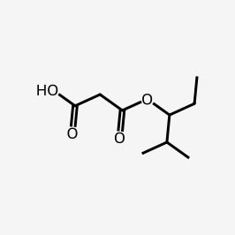 CCC(OC(=O)CC(=O)O)C(C)C